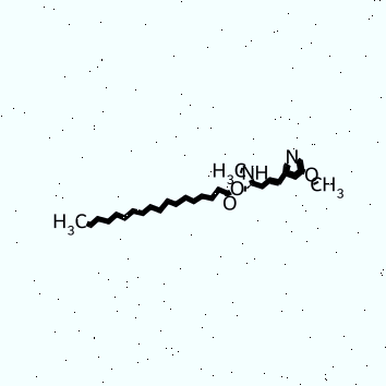 CCCCCCCCCCCCCCCCCC(=O)OC[C@@H](C/C=C/c1cncc(OC)c1)NC